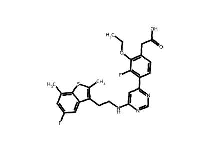 CCOc1c(CC(=O)O)ccc(-c2cc(NCCc3c(C)sc4c(C)cc(F)cc34)ncn2)c1F